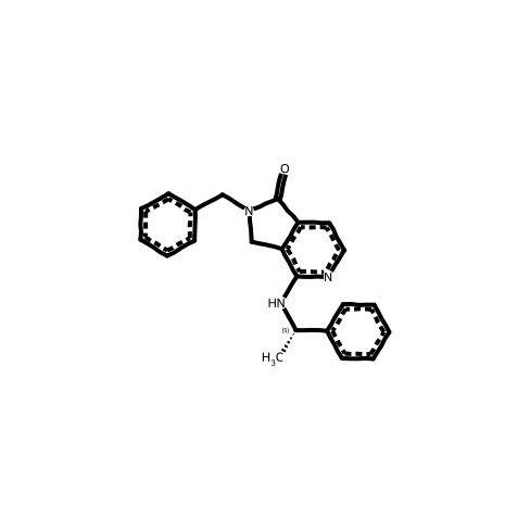 C[C@H](Nc1nccc2c1CN(Cc1ccccc1)C2=O)c1ccccc1